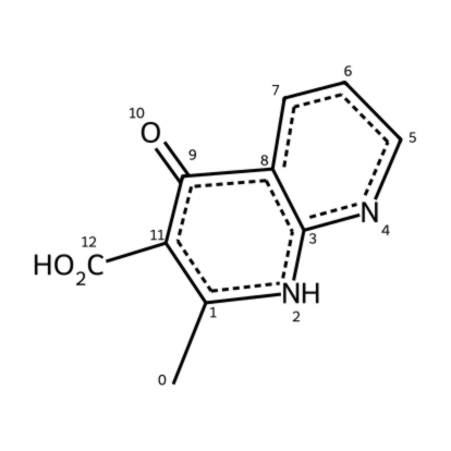 Cc1[nH]c2ncccc2c(=O)c1C(=O)O